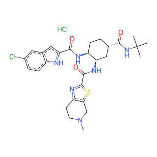 CN1CCc2nc(C(=O)N[C@@H]3C[C@@H](C(=O)NC(C)(C)C)CC[C@@H]3NC(=O)c3cc4cc(Cl)ccc4[nH]3)sc2C1.Cl